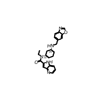 CCN(C(=O)c1cc2ncccc2[nH]1)[C@H]1CCC[C@@H](NCc2ccc3ncoc3c2)C1